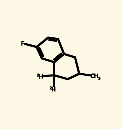 [2H]C1([2H])CC(C)Cc2ccc(F)cc21